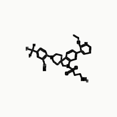 CCOc1ncccc1-c1ccc2c(c1)N(S(=O)(=O)CCN)CC21CCN(c2ccc(C(F)(F)F)cc2C#N)CC1